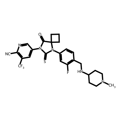 CN1CCC(NCc2ccc(N3C(=S)N(c4cnc(C#N)c(C(F)(F)F)c4)C(=O)C34CCC4)cc2F)CC1